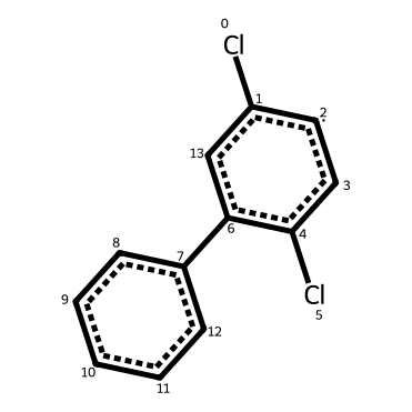 Clc1[c]cc(Cl)c(-c2ccccc2)c1